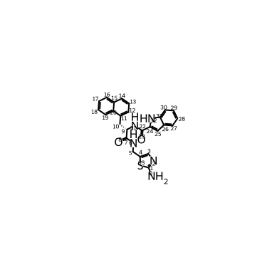 Nc1ncc(CNC(=O)[C@H](Cc2cccc3ccccc23)NC(=O)c2cc3ccccc3[nH]2)s1